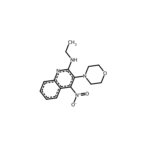 CCNc1nc2ccccc2c([N+](=O)[O-])c1N1CCOCC1